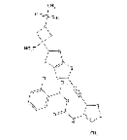 Cc1onc(C#Cc2nc3sc(C4(C(=O)O)CN(S(C)(=O)=O)C4)nc3s2)c1NC(=O)OC(C)c1ccccc1Cl